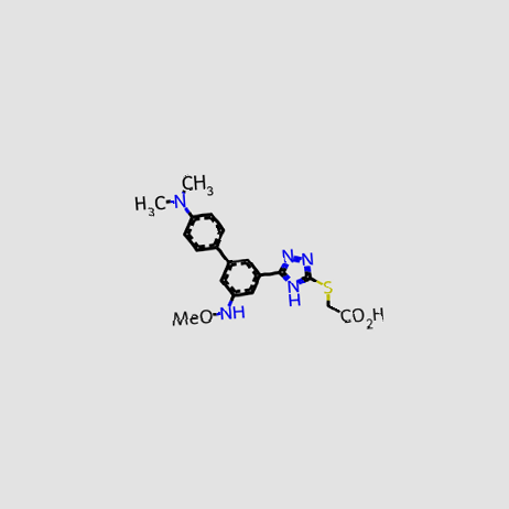 CONc1cc(-c2ccc(N(C)C)cc2)cc(-c2nnc(SCC(=O)O)[nH]2)c1